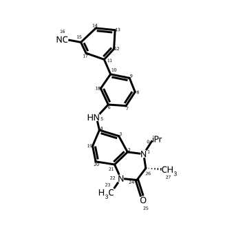 CC(C)N1c2cc(Nc3cccc(-c4cccc(C#N)c4)c3)ccc2N(C)C(=O)[C@H]1C